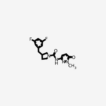 Cn1nc(NC(=O)N2CCC(Cc3cc(F)cc(F)c3)C2)ccc1=O